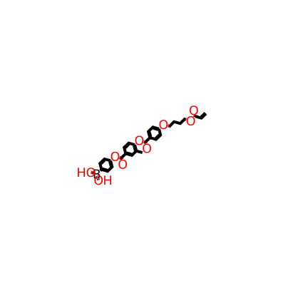 C=CC(=O)OCCCCOc1ccc(C(=O)Oc2ccc(C(=O)Oc3ccc(B(O)O)cc3)cc2C)cc1